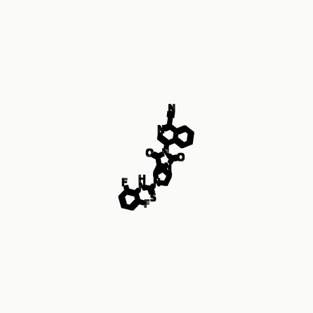 N#Cc1ncc(N2C(=O)C3C4CC(CN4C(=S)Nc4c(F)cccc4F)N3C2=O)c2ccccc12